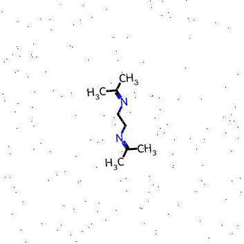 CC(C)=NCCN=C(C)C